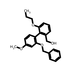 CCCOc1cccc(CO)c1-c1ccc(OC)cc1OCc1ccccc1